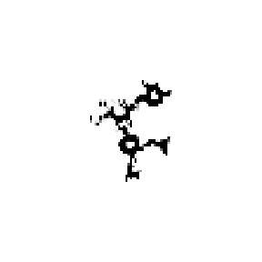 C[C@H](N)c1oc(-c2ccc(OCC(F)F)c(OCC3CC3)c2)nc1C(=O)NCc1ccc(F)cc1F